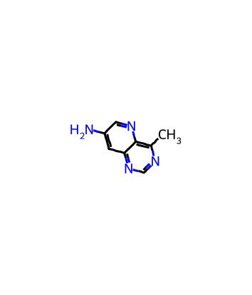 Cc1ncnc2cc(N)cnc12